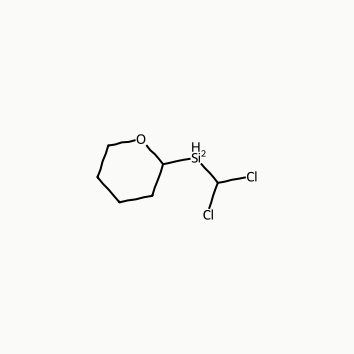 ClC(Cl)[SiH2]C1CCCCO1